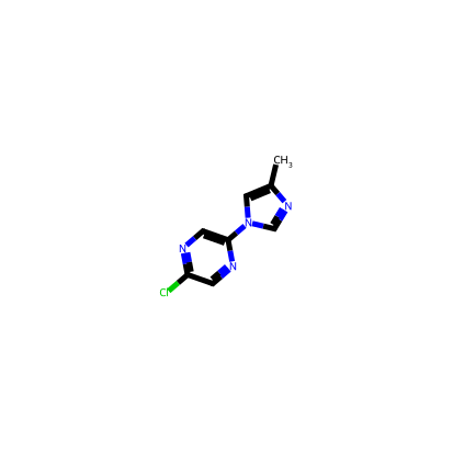 Cc1cn(-c2cnc(Cl)cn2)cn1